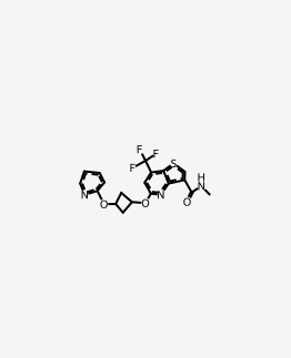 CNC(=O)c1csc2c(C(F)(F)F)cc(OC3CC(Oc4ccccn4)C3)nc12